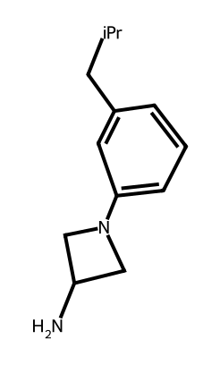 CC(C)Cc1cccc(N2CC(N)C2)c1